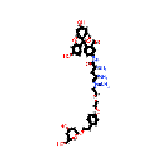 COC1(c2ccc(NC(=O)C(N)C/C(N)=C/N(N)CCOCCOc3ccc(CCOC4CC(O)CC(CO)O4)cc3)cc2C=O)c2ccc(O)cc2Oc2cc(O)ccc21